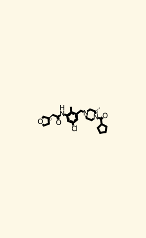 Cc1c(CN2CCN(C(=O)C3CCCC3)[C@@H](C)C2)cc(Cl)cc1NC(=O)C[C@H]1CCOC1